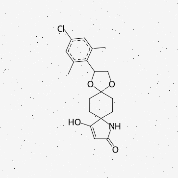 Cc1cc(Cl)cc(C)c1C1COC2(CCC3(CC2)NC(=O)C=C3O)O1